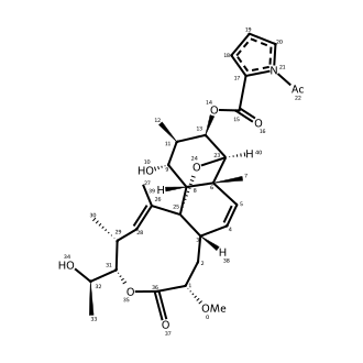 CO[C@H]1C[C@H]2C=C[C@]3(C)[C@H]4[C@H](O)[C@@H](C)[C@@H](OC(=O)c5cccn5C(C)=O)[C@@H]3O[C@@]24/C(C)=C/[C@@H](C)[C@@H]([C@@H](C)O)OC1=O